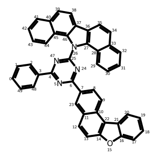 c1ccc(-c2nc(-c3ccc4c(ccc5oc6ccccc6c54)c3)nc(-n3c4c5ccccc5ccc4c4ccc5ccccc5c43)n2)cc1